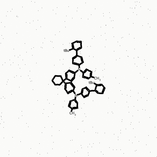 Cc1ccc(N(c2ccc(-c3ccccc3C(C)(C)C)cc2)c2ccc(C3(c4ccc(N(c5ccc(C)cc5)c5ccc(-c6ccccc6C(C)(C)C)cc5)cc4)CCCCC3)cc2)cc1